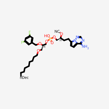 CCCCCCCCCCCCCCCCCCOC[C@H](COP(=O)(O)OC[C@H](CCc1ccc2c(N)ncnn12)OC#N)OCc1cc(F)cc(F)c1